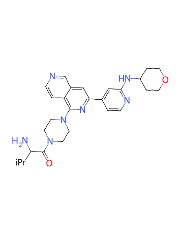 CC(C)C(N)C(=O)N1CCN(c2nc(-c3ccnc(NC4CCOCC4)c3)cc3cnccc23)CC1